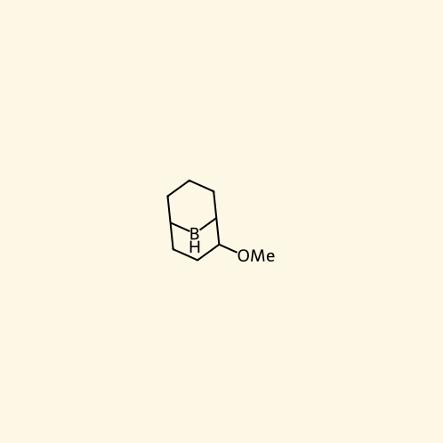 COC1CCC2BC1CCC2